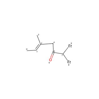 CC=C(C)CC(=O)C(CC)CC